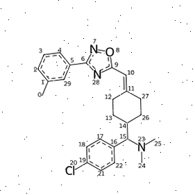 Cc1cccc(-c2noc(C=C3CCC(C(c4ccc(Cl)cc4)N(C)C)CC3)n2)c1